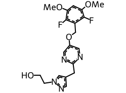 COc1cc(OC)c(F)c(COc2cnc(Cc3cnn(CCO)c3)nc2)c1F